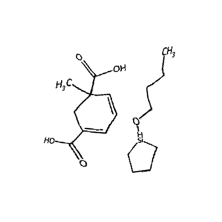 CC1(C(=O)O)C=CC=C(C(=O)O)C1.CCCCO[SiH]1CCCC1